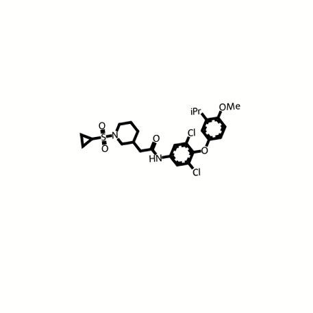 COc1ccc(Oc2c(Cl)cc(NC(=O)CC3CCCN(S(=O)(=O)C4CC4)C3)cc2Cl)cc1C(C)C